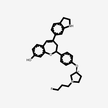 Oc1ccc2c(c1)OC(c1ccc(O[C@H]3CCN(CCCF)C3)cc1)CC(c1ccc3c(c1)NCC3)=C2